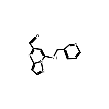 O=Cc1cc(NCc2cccnc2)n2nccc2n1